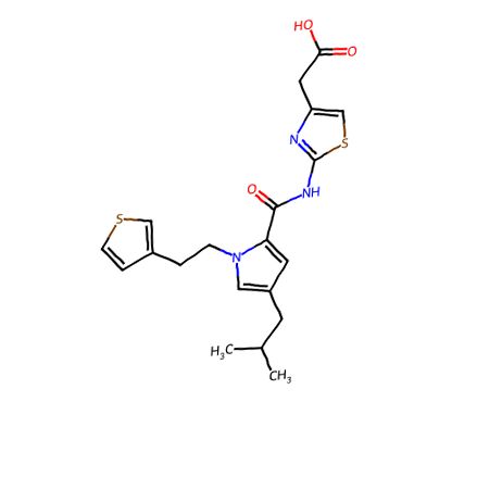 CC(C)Cc1cc(C(=O)Nc2nc(CC(=O)O)cs2)n(CCc2ccsc2)c1